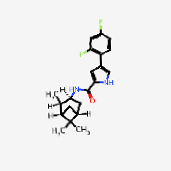 C[C@@H]1[C@@H](NC(=O)c2cc(-c3ccc(F)cc3F)c[nH]2)C[C@H]2C[C@@H]1C2(C)C